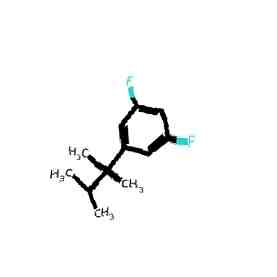 CC(C)C(C)(C)c1cc(F)cc(F)c1